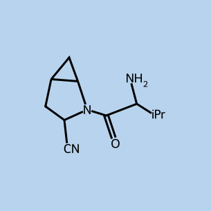 CC(C)C(N)C(=O)N1C(C#N)CC2CC21